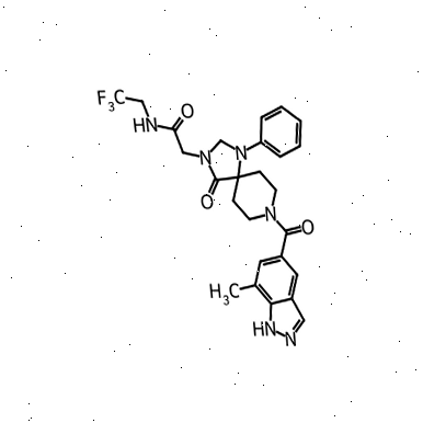 Cc1cc(C(=O)N2CCC3(CC2)C(=O)N(CC(=O)NCC(F)(F)F)CN3c2ccccc2)cc2cn[nH]c12